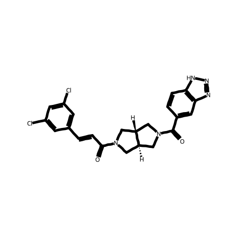 O=C(/C=C/c1cc(Cl)cc(Cl)c1)N1C[C@@H]2CN(C(=O)c3ccc4[nH]nnc4c3)C[C@H]2C1